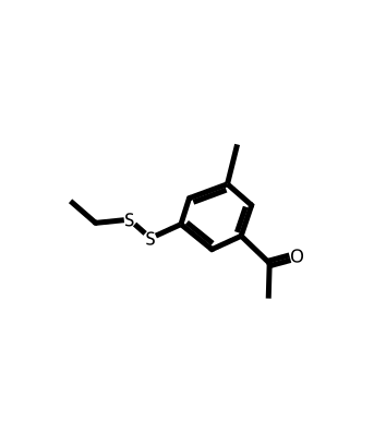 CCSSc1cc(C)cc(C(C)=O)c1